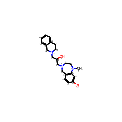 CN1CCN(CC(O)CN2CCc3ccccc3C2)Cc2ccc(O)cc21